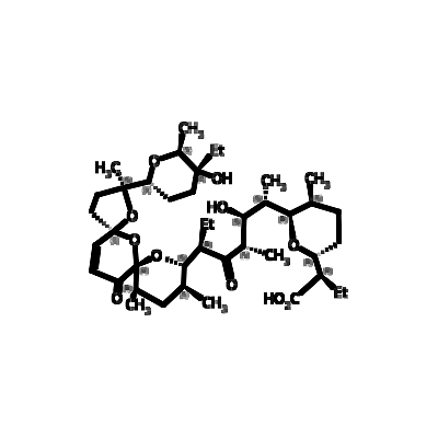 CC[C@@H](C(=O)[C@@H](C)[C@@H](O)[C@H](C)[C@@H]1O[C@@H]([C@@H](CC)C(=O)O)CC[C@@H]1C)[C@H]1O[C@@]2(O[C@]3(C=CC2=O)CC[C@@](C)([C@H]2CC[C@](O)(CC)[C@H](C)O2)O3)[C@H](C)C[C@@H]1C